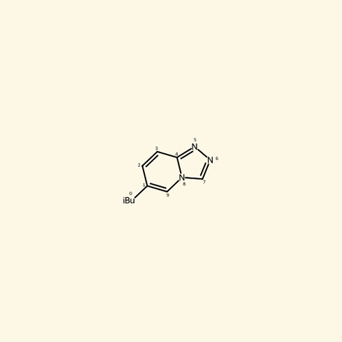 CCC(C)c1ccc2nncn2c1